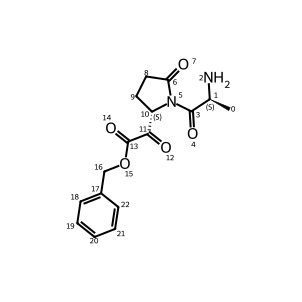 C[C@H](N)C(=O)N1C(=O)CC[C@H]1C(=O)C(=O)OCc1ccccc1